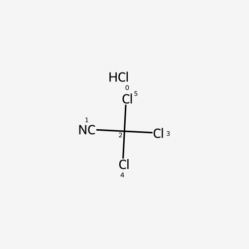 Cl.N#CC(Cl)(Cl)Cl